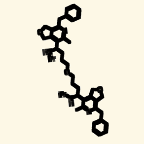 Cc1nc(Cc2ccccc2)c2c(c1C(CCCOCCCC(NC(C)C)c1c(C)nc(Cc3ccccc3)c3c1COC3)NC(C)C)COC2